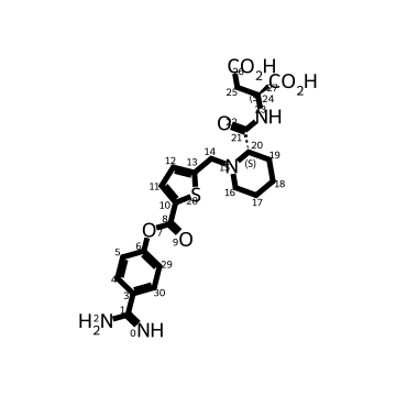 N=C(N)c1ccc(OC(=O)c2ccc(CN3CCCC[C@H]3C(=O)N[C@@H](CC(=O)O)C(=O)O)s2)cc1